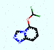 FC(F)Oc1cccc2nncn12